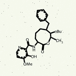 CCCCC1C(Cc2ccccc2)CCCC(NC(=O)c2nccc(OC)c2O)C(=O)OC1C